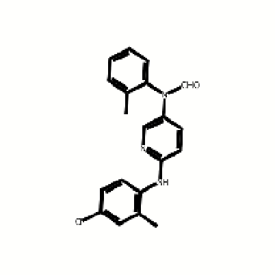 Cc1cc(Cl)ccc1Nc1ccc(N(C=O)c2ccccc2C)cn1